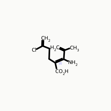 C=C(Cl)CC/C(C(=O)O)=C(/N)C(=C)C